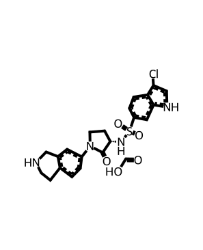 O=C1[C@@H](NS(=O)(=O)c2ccc3c(Cl)c[nH]c3c2)CCN1c1ccc2c(c1)CNCC2.O=CO